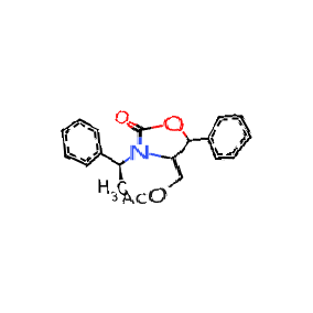 CC(=O)OCC1C(c2ccccc2)OC(=O)N1[C@@H](C)c1ccccc1